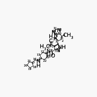 Cc1cc(-c2[nH]nc(C(=O)NC3CCC(NCC4CCCC4)CC3)c2C(C)C)cn2ncnc12